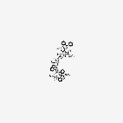 CC[N+]1(c2ccccc2NC(=O)OCC(C(=O)OC)(c2ccccc2)c2ccccc2NC(=O)OC(C)(C)C)CCN(C(=O)NCC(=O)N[C@@H]2S[C@H]3[C@H](OC)C(=O)N3C(C(=O)OC(c3ccccc3)c3ccccc3)=C2COC(C)=O)C(=O)C1=O